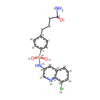 NC(=O)CCCc1ccc(S(=O)(=O)Nc2cnc3c(Br)cccc3c2)cc1